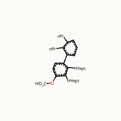 CCCCCCCc1c(OC(=O)O)ccc(-c2cccc(CCC)c2CCC)c1CCCCCCC